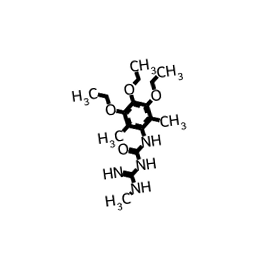 CCOc1c(C)c(NC(=O)NC(=N)NC)c(C)c(OCC)c1OCC